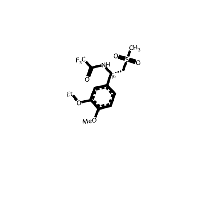 CCOc1cc([C@@H](CS(C)(=O)=O)NC(=O)C(F)(F)F)ccc1OC